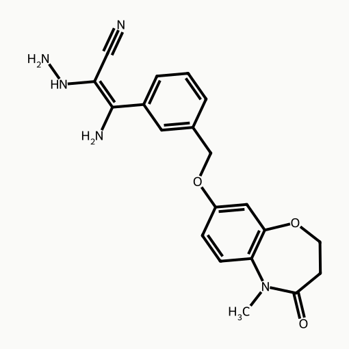 CN1C(=O)CCOc2cc(OCc3cccc(/C(N)=C(\C#N)NN)c3)ccc21